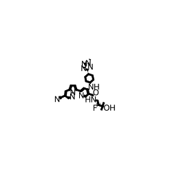 Cn1nnc([C@H]2CC[C@H](Nc3cc(-c4ccc5cc(C#N)cnn45)ncc3C(=O)NC[C@@H](F)C(C)(C)O)CC2)n1